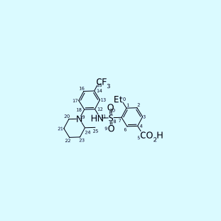 CCc1ccc(C(=O)O)cc1S(=O)(=O)Nc1cc(C(F)(F)F)ccc1N1CCCCC1C